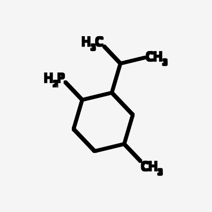 CC1CCC(P)C(C(C)C)C1